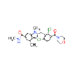 CNC(=O)c1cc(C)c2cc(Cc3c(Cl)ccc(C(=O)N4CCOCC4)c3Cl)n(C)c2c1